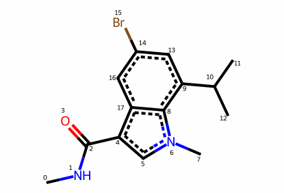 CNC(=O)c1cn(C)c2c(C(C)C)cc(Br)cc12